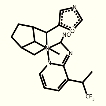 CC(C1=CC=CN2C1=NC(N=O)N2C1C2CCC1C(c1cnco1)N(C)C2)C(F)(F)F